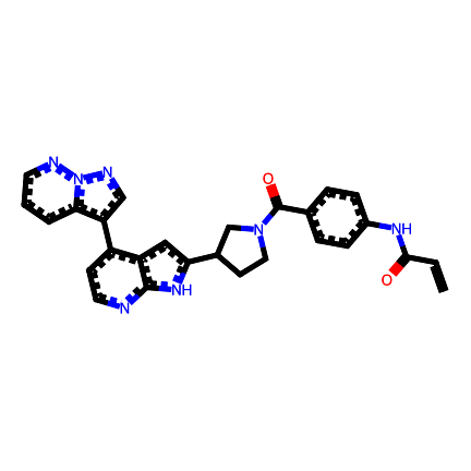 C=CC(=O)Nc1ccc(C(=O)N2CCC(c3cc4c(-c5cnn6ncccc56)ccnc4[nH]3)C2)cc1